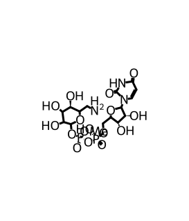 COP(=O)(OC1OC(CN)[C@H](O)C(O)C1O)OP(=O)(O)OCC1OC(n2ccc(=O)[nH]c2=O)[C@H](O)[C@@H]1O